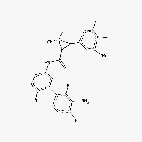 C=C(Nc1ccc(Cl)c(-c2ccc(F)c(N)c2F)c1)C1C(c2cc(C)c(C)c(Br)c2)C1(C)Cl